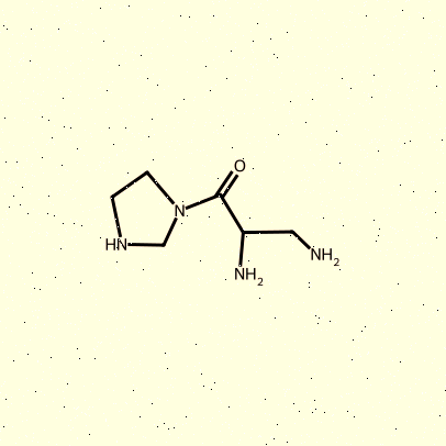 NCC(N)C(=O)N1CCNC1